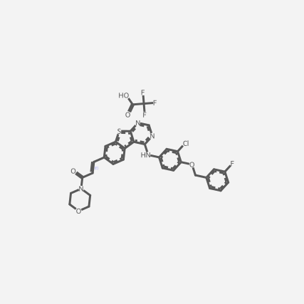 O=C(/C=C/c1ccc2c(c1)sc1ncnc(Nc3ccc(OCc4cccc(F)c4)c(Cl)c3)c12)N1CCOCC1.O=C(O)C(F)(F)F